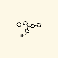 CCCc1ccc(N(c2ccc(-c3ccccc3)cc2)c2cccc(-c3ccccc3)c2)cc1